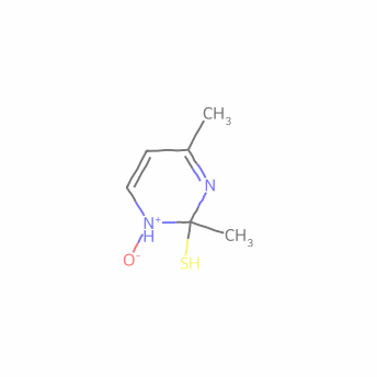 CC1=NC(C)(S)[NH+]([O-])C=C1